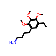 CCc1cc(CCCCN)c(OC)c(OC)c1OC